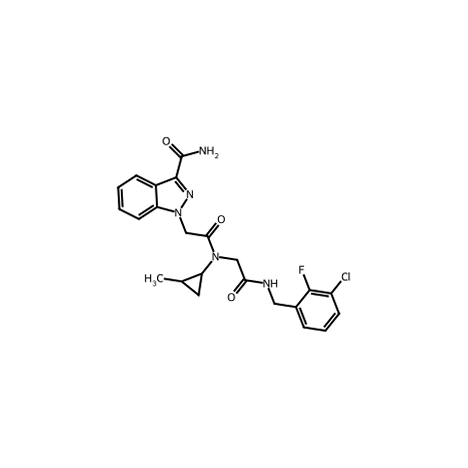 CC1CC1N(CC(=O)NCc1cccc(Cl)c1F)C(=O)Cn1nc(C(N)=O)c2ccccc21